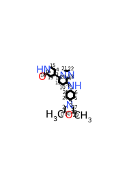 CC1CN(c2ccc(Nc3ccc(-c4cc[nH]c(=O)c4)n4ccnc34)cc2)C[C@H](C)O1